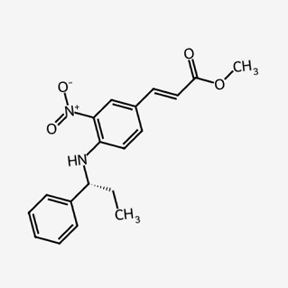 CC[C@@H](Nc1ccc(/C=C/C(=O)OC)cc1[N+](=O)[O-])c1ccccc1